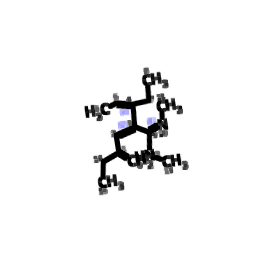 C=C(/C=C(C(=C\C)/CC)\C(=N/C)NC)CC